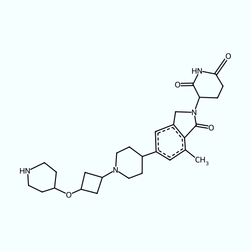 Cc1cc(C2CCN(C3CC(OC4CCNCC4)C3)CC2)cc2c1C(=O)N(C1CCC(=O)NC1=O)C2